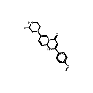 COc1ccc(C2=CC(=O)N3C=C(N4CCN[C@H](C)C4)C=CC3P2)cc1